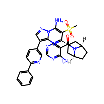 CS(=O)(=O)c1c([C@@H]2C[C@H]3CC[C@@H](C2)N3C(=O)c2cncnc2N)nc2c(-c3ccc(-c4ccccc4)nc3)cnn2c1N